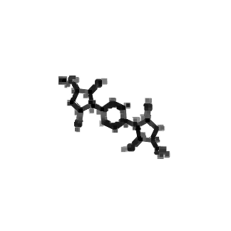 CC1CC(=O)N(c2ccc(N3C(=O)CC(C)C3=O)cc2)C1=O